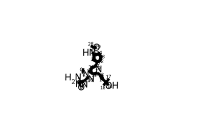 CCn1c(-c2nonc2N)nc2c(C#CC(C)(C)O)nc(-c3cccc(NC(C)=O)c3)cc21